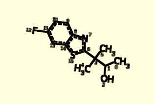 CC(O)C(C)(C)c1nc2ccc(F)cc2s1